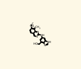 COc1ccc2cnc(Nc3cc(CO)c4nc[nH]c4c3)nc2c1C